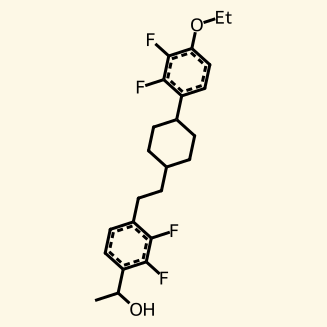 CCOc1ccc(C2CCC(CCc3ccc(C(C)O)c(F)c3F)CC2)c(F)c1F